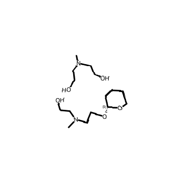 CN(CCO)CCO.CN(CCO)CCO[C@@H]1CCCCO1